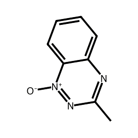 Cc1nc2ccccc2[n+]([O-])n1